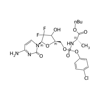 CCCCOC(=O)[C@H](C)NP(=O)(OC[C@H]1O[C@@H](n2ccc(N)nc2=O)C(F)(F)C1O)Oc1ccc(Cl)cc1